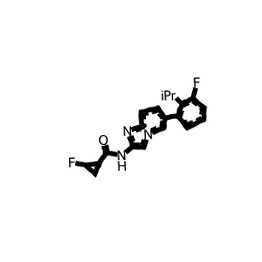 CC(C)c1c(F)cccc1-c1ccc2nc(NC(=O)C3CC3F)cn2c1